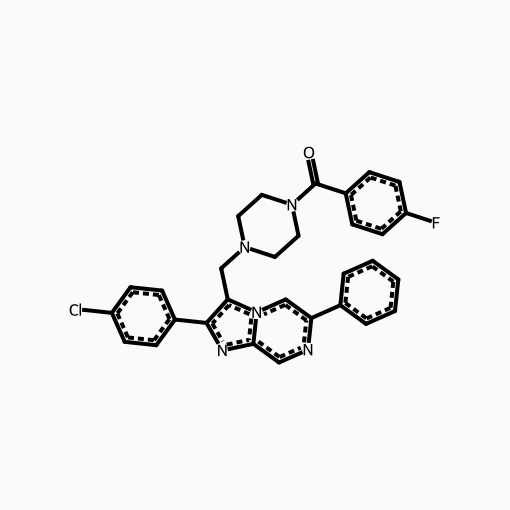 O=C(c1ccc(F)cc1)N1CCN(Cc2c(-c3ccc(Cl)cc3)nc3cnc(-c4ccccc4)cn23)CC1